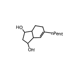 CCCCCC1=CC2C(O)CC(O)C2CC1